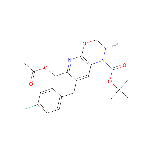 CC(=O)OCc1nc2c(cc1Cc1ccc(F)cc1)N(C(=O)OC(C)(C)C)[C@@H](C)CO2